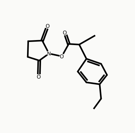 CCc1ccc(C(C)C(=O)ON2C(=O)CCC2=O)cc1